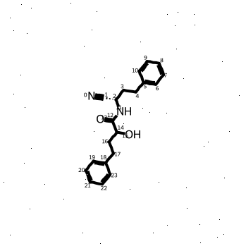 N#C[C@H](CCc1ccccc1)NC(=O)C(O)CCc1ccccc1